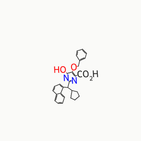 O=C(O)c1nc(C(c2cccc3ccccc23)C2CCCC2)nc(O)c1OCc1ccccc1